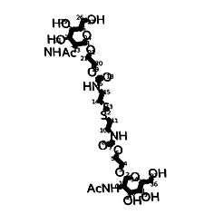 CC(=O)NC1[C@H](OCCOC(=O)NCCSSCCNC(=O)OCCO[C@@H]2OC(CO)[C@H](O)[C@H](O)C2NC(C)=O)OC(CO)[C@H](O)[C@@H]1O